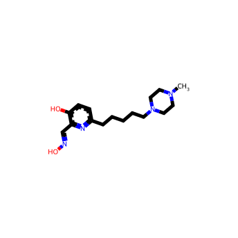 CN1CCN(CCCCCc2ccc(O)c(C=NO)n2)CC1